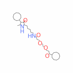 CC1NC(CCCCCNC(=O)CCOCCOCCC(=O)C2CCCCCCCC2)C(=O)C1C1CCCCCCCC1